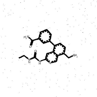 CCNC(=O)Nc1cc2c(-c3cccc(C(N)=O)c3)ccc(CN)c2cn1